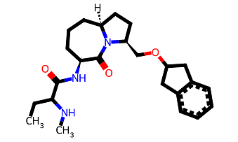 CCC(NC)C(=O)N[C@H]1CCC[C@H]2CC[C@@H](COC3Cc4ccccc4C3)N2C1=O